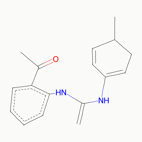 C=C(NC1=CCC(C)C=C1)Nc1ccccc1C(C)=O